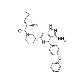 N#CC(=CC1CC1)C(=O)N1CCC[C@H](c2cc3[nH]nc(N)c3c(-c3ccc(Oc4ccccc4)cc3)n2)C1